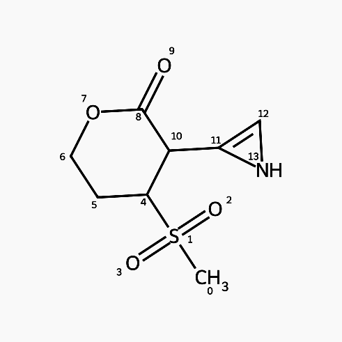 CS(=O)(=O)C1CCOC(=O)C1C1=CN1